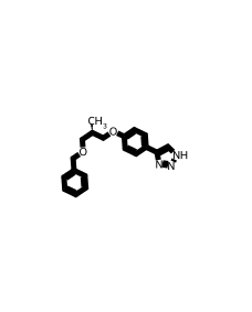 C[C@@H](COCc1ccccc1)COc1ccc(-c2c[nH]nn2)cc1